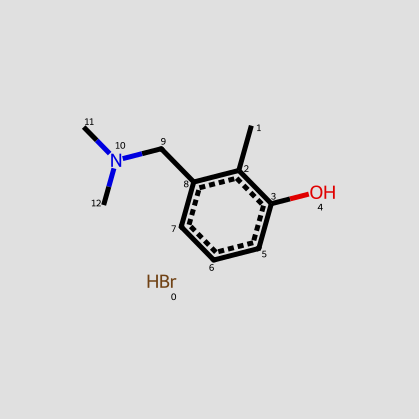 Br.Cc1c(O)cccc1CN(C)C